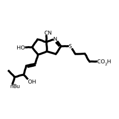 CCCCC(C)C(O)C=CC1C(O)CC2(C#N)N=C(SCCCC(=O)O)CC12